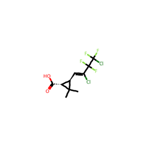 CC1(C)[C@H](/C=C(\Cl)C(F)(F)C(F)(F)Cl)[C@H]1C(=O)O